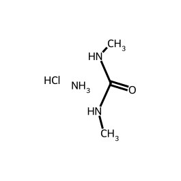 CNC(=O)NC.Cl.N